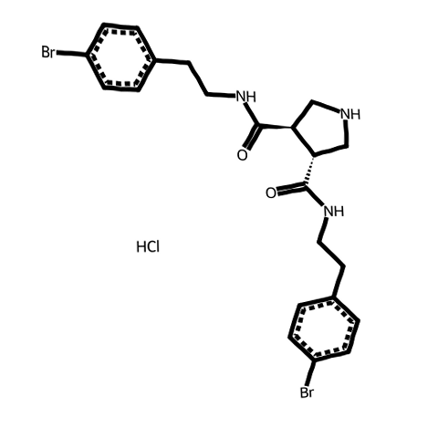 Cl.O=C(NCCc1ccc(Br)cc1)[C@H]1CNC[C@@H]1C(=O)NCCc1ccc(Br)cc1